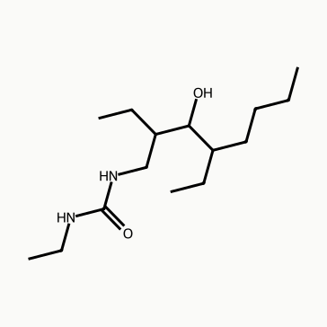 CCCCC(CC)C(O)C(CC)CNC(=O)NCC